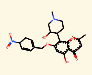 Cc1cc(=O)c2c(O)cc(OCC3=CCC([N+](=O)[O-])C=C3)c(C3CCN(C)CC3O)c2o1